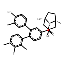 Cc1ccc(-c2ccc(C(=O)N3[C@@H]4CC[C@H]3C[C@@H](N)C4)cc2-c2ccc(C#N)c(F)c2)c(F)c1F